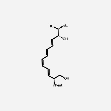 CCCCC[C@@H](/C=C/C=C\C=C\C=C\[C@@H](O)[C@@H](O)CCCC)CO